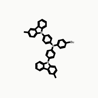 CCC(C)c1ccc(N(c2ccc(-n3c4ccccc4c4cc(C)ccc43)cc2)c2ccc(-n3c4ccccc4c4cc(C)ccc43)cc2)cc1